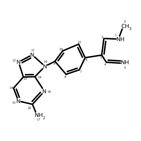 CN/C=C(\C=N)c1ccc(-n2nnc3cnc(N)nc32)cc1